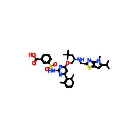 Cc1cccc(C)c1-c1cc(OCC(CC(C)(C)C)NCc2nc3c(cc(C(C)C)n3C)s2)nc(NS(=O)(=O)c2cccc(C(=O)O)c2)n1